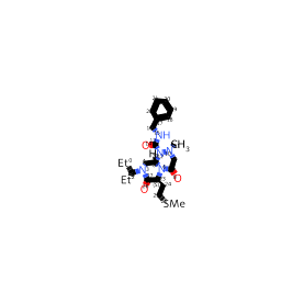 CCC(CC)N1C[C@H]2N(C(=O)CN(C)N2C(=O)NCc2ccccc2)[C@@H](CCSC)C1=O